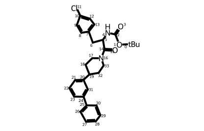 CC(C)(C)OC(=O)NC(Cc1ccc(Cl)cc1)C(=O)N1CCC(c2cccc(-c3ccccc3)c2)CC1